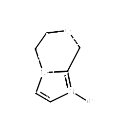 CC(C)[n+]1ccn2c1COCC2